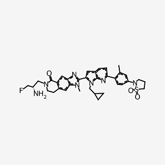 Cc1cc(N2CCCS2(=O)=O)ccc1-c1ccc2cc(-c3nc4cc5c(cc4n3C)CCN(C[C@H](N)CF)C5=O)n(CC3CC3)c2n1